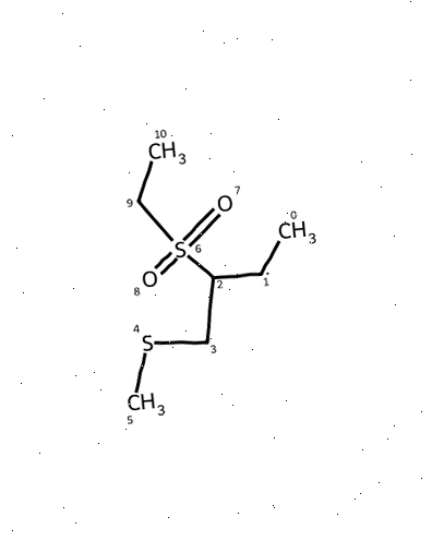 C[CH]C(CSC)S(=O)(=O)CC